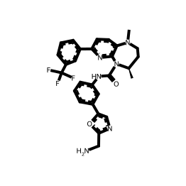 C[C@@H]1CCN(C)c2ccc(-c3cccc(C(F)(F)F)c3)nc2N1C(=O)Nc1cccc(-c2cnc(CN)o2)c1